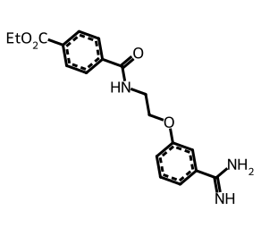 CCOC(=O)c1ccc(C(=O)NCCOc2cccc(C(=N)N)c2)cc1